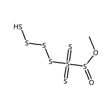 COS(=O)S(=S)(=S)SSSS